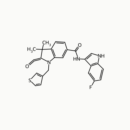 CC1(C)C(=C=O)N(Cc2ccsc2)c2cc(C(=O)Nc3c[nH]c4ccc(F)cc34)ccc21